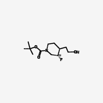 CC(C)(C)OC(=O)N1CCC(CCO)[C@H](F)C1